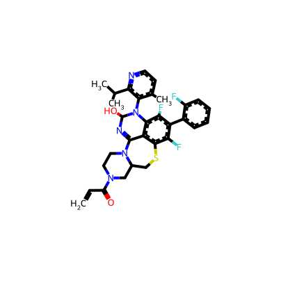 C=CC(=O)N1CCN2C3=NC(O)N(c4c(C)ccnc4C(C)C)c4c(F)c(-c5ccccc5F)c(F)c(c43)SCC2C1